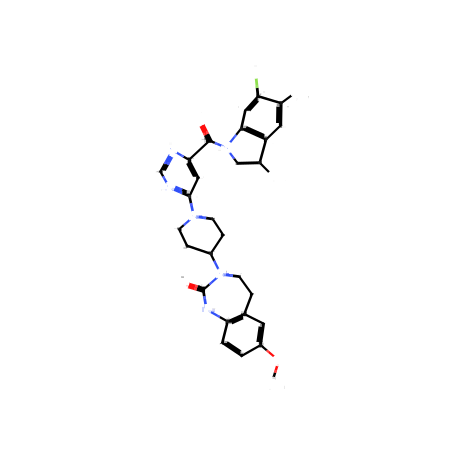 COc1ccc2c(c1)CCN(C1CCN(c3cc(C(=O)N4CC(C)c5cc(C)c(F)cc54)ncn3)CC1)C(=O)N2